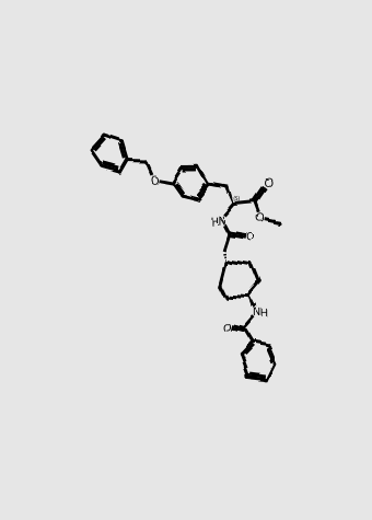 COC(=O)[C@H](Cc1ccc(OCc2ccccc2)cc1)NC(=O)C[C@H]1CC[C@H](NC(=O)c2ccccc2)CC1